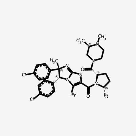 CC[C@H]1CC[C@@H](C(=O)N2CCN(C)[C@H](C)C2)N1C(=O)C1=C(C(C)C)N2C(=N[C@@](C)(c3ccc(Cl)cc3)[C@H]2c2ccc(Cl)cc2)S1